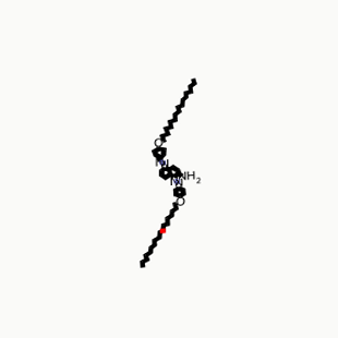 CCCCCCCCCCCCCCCCCCOc1ccc(/N=N/c2cccc3c(/N=N/c4ccc(OCCCCCCCCCCCCCCCCCC)cc4)c(N)ccc23)cc1